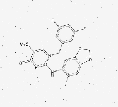 COc1cn(Cc2cc(F)cc(F)c2)c(Nc2cc3c(cc2C)OCO3)nc1=O